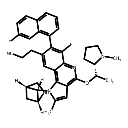 Cc1cc2c(OC(C)[C@@H]3CCCN3C)nc3c(F)c(-c4cccc5ccc(F)cc45)c(CCC#N)cc3c2n1[C@H]1[C@H]2CN[C@@H]1C2